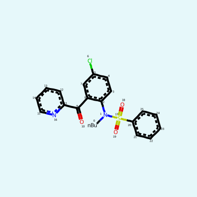 CCCCN(c1ccc(Cl)cc1C(=O)c1ccccn1)S(=O)(=O)c1ccccc1